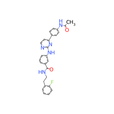 CC(=O)Nc1ccc(-c2ccnc(Nc3cccc(C(=O)NCCc4ccccc4F)c3)n2)cc1